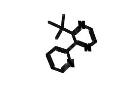 CC(C)(C)c1nccnc1-c1ccccn1